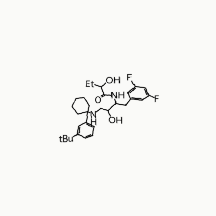 CCC(O)C(=O)NC(Cc1cc(F)cc(F)c1)C(O)CNC1(c2cccc(C(C)(C)C)c2)CCCCC1